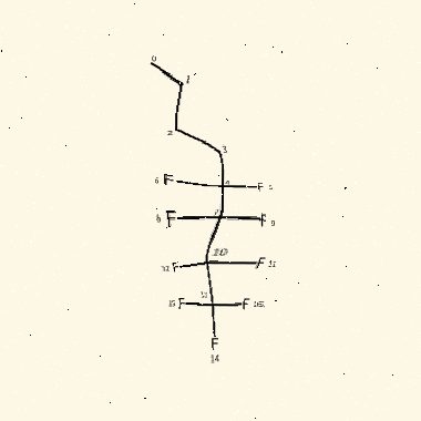 CCCCC(F)(F)C(F)(F)C(F)(F)C(F)(F)F